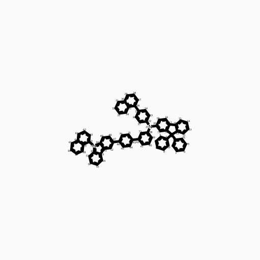 c1ccc(C2(c3ccccc3)c3ccccc3-c3ccc(N(c4ccc(-c5cccc6ccccc56)cc4)c4cccc(-c5ccc(-c6ccc7c(c6)c6ccccc6n7-c6cccc7ccccc67)cc5)c4)cc32)cc1